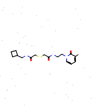 Cc1cccn(CCNC(=O)CSCC(=O)NCC2CCC2)c1=O